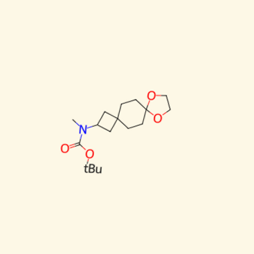 CN(C(=O)OC(C)(C)C)C1CC2(CCC3(CC2)OCCO3)C1